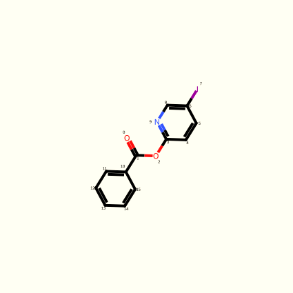 O=C(Oc1c[c]c(I)cn1)c1ccccc1